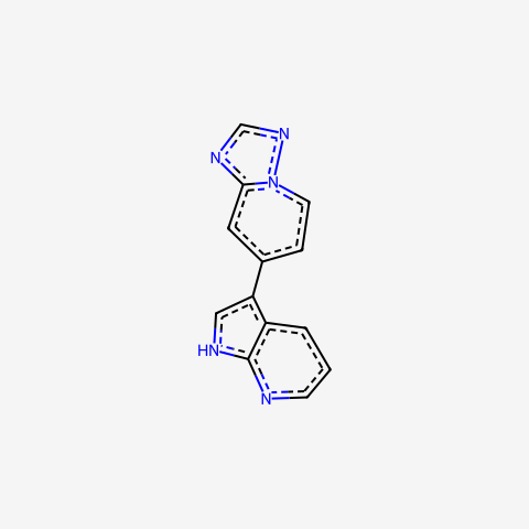 c1cnc2[nH]cc(-c3ccn4ncnc4c3)c2c1